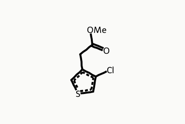 COC(=O)Cc1cscc1Cl